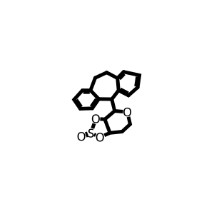 O=S1OC2CCOC(C3c4ccccc4CCc4ccccc43)C2O1